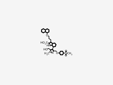 Cn1nc(COc2ccc(S(C)(=O)=O)cc2)c(-c2cccc3c(CCCOc4cccc5ccccc45)c(C(=O)O)[nH]c23)c1CO